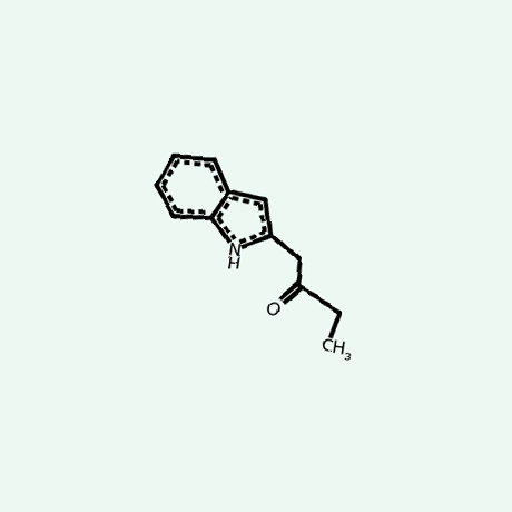 CCC(=O)Cc1cc2ccccc2[nH]1